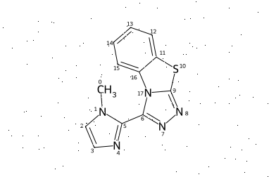 Cn1ccnc1-c1nnc2sc3ccccc3n12